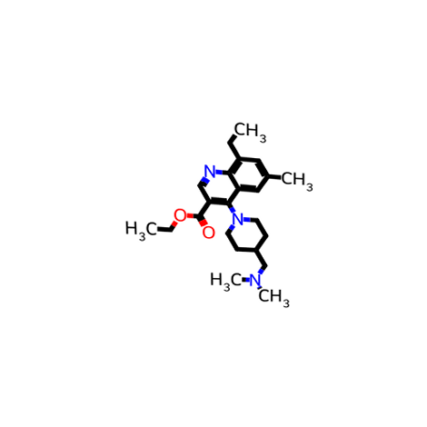 CCOC(=O)c1cnc2c(CC)cc(C)cc2c1N1CCC(CN(C)C)CC1